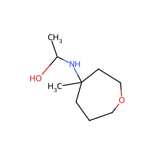 CC(O)NC1(C)CCCOCC1